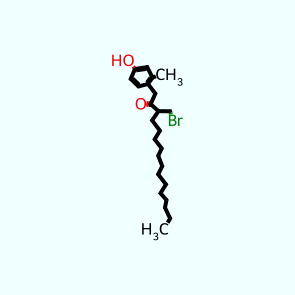 CCCCCCCCCCCCCC(CBr)C(=O)Cc1ccc(O)cc1C